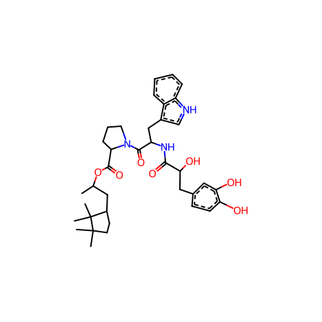 CC(CC1CCC(C)(C)C1(C)C)OC(=O)C1CCCN1C(=O)C(Cc1c[nH]c2ccccc12)NC(=O)C(O)Cc1ccc(O)c(O)c1